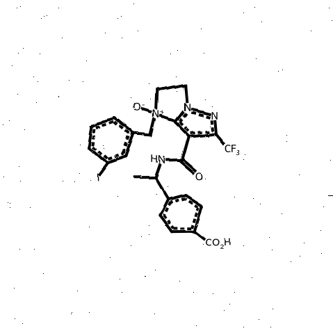 CC(NC(=O)c1c(C(F)(F)F)nn2c1[N+]([O-])(Cc1cccc(I)c1)CC2)c1ccc(C(=O)O)cc1